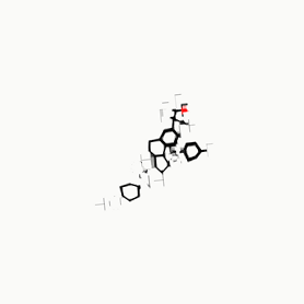 O=C(N[C@H]1CC[C@H](O)CC1)[C@@H]1CC[C@@]2(S(=O)(=O)c3ccc(F)cc3)c3ccc(C(F)(C(F)(F)F)C(F)(F)F)cc3CC[C@@H]12